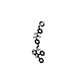 O=C(Nc1ccc(CCNc2ncnc3oc(-c4ccccc4)c(-c4ccccc4)c23)cc1)Nc1cccc(CN2CCOCC2)c1